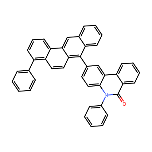 O=c1c2ccccc2c2cc(-c3c4ccccc4cc4c3ccc3c(-c5ccccc5)cccc34)ccc2n1-c1ccccc1